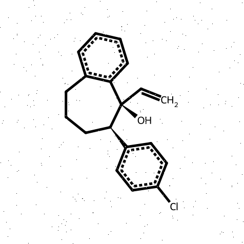 C=C[C@@]1(O)c2ccccc2CCC[C@@H]1c1ccc(Cl)cc1